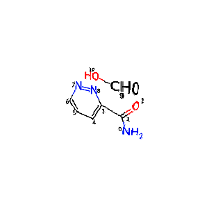 NC(=O)c1cccnn1.O=CO